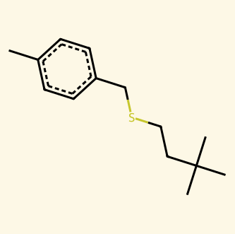 Cc1ccc(CSCCC(C)(C)C)cc1